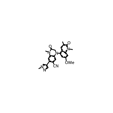 COc1cc(N2CC(=O)N(C)c3cc(-c4cnn(C)c4)c(C#N)cc32)c2cc(C)c(=O)n(C)c2c1